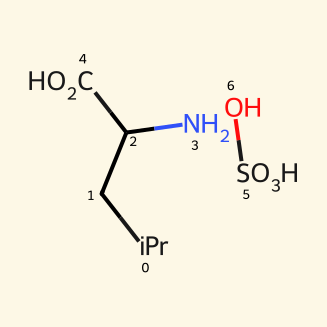 CC(C)CC(N)C(=O)O.O=S(=O)(O)O